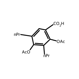 CCCc1cc(C(=O)O)c(OC(C)=O)c(CCC)c1OC(C)=O